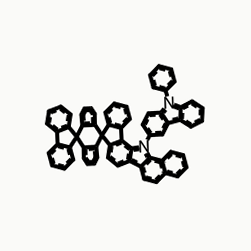 c1ccc(-n2c3ccccc3c3cc(-n4c5c6c(ccc5c5ccc7ccccc7c54)C4(c5ccccc5-6)c5ccccc5C5(c6ccccc6-c6ccccc65)c5ccccc54)ccc32)cc1